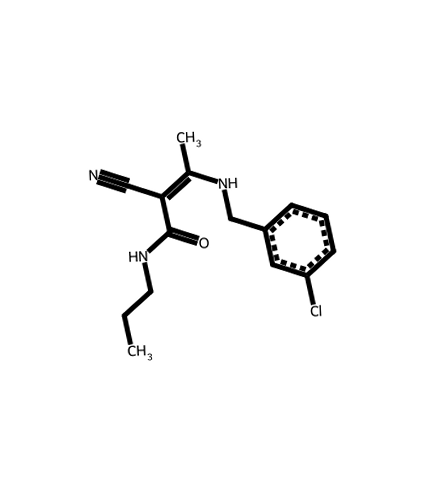 CCCNC(=O)C(C#N)=C(C)NCc1cccc(Cl)c1